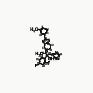 Cc1cccc(-c2nc3c(s2)CN([C@H](C)[C@](O)(Cn2cncn2)c2ccc(F)cc2F)CC3)c1